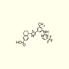 Cc1cc(Nc2nccc(C(F)(F)F)n2)cc(-c2cnc(C3CCCc4cc(C(=O)O)ccc43)s2)c1